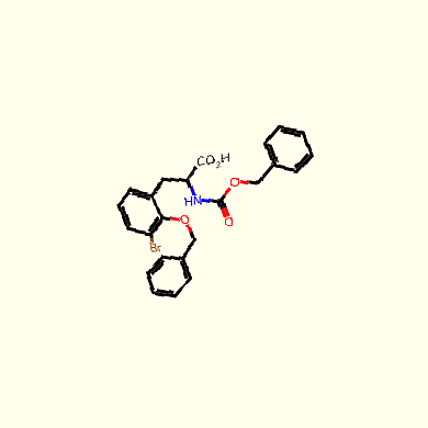 O=C(N[C@@H](Cc1cccc(Br)c1OCc1ccccc1)C(=O)O)OCc1ccccc1